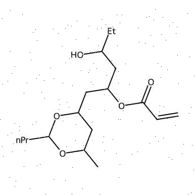 C=CC(=O)OC(CC(O)CC)CC1CC(C)OC(CCC)O1